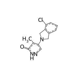 Cc1c(N2Cc3cccc(Cl)c3C2)cn[nH]c1=O